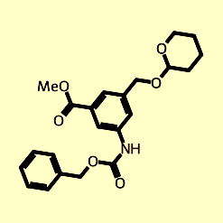 COC(=O)c1cc(COC2CCCCO2)cc(NC(=O)OCc2ccccc2)c1